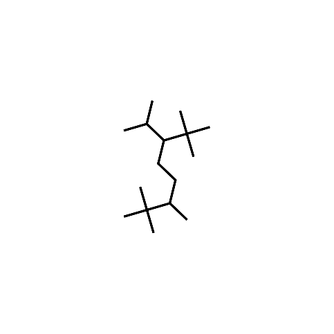 CC(C)C(CCC(C)C(C)(C)C)C(C)(C)C